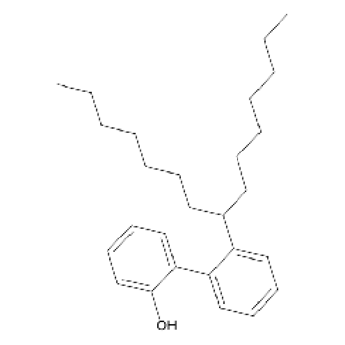 CCCCCCCC(CCCCCCC)c1ccccc1-c1ccccc1O